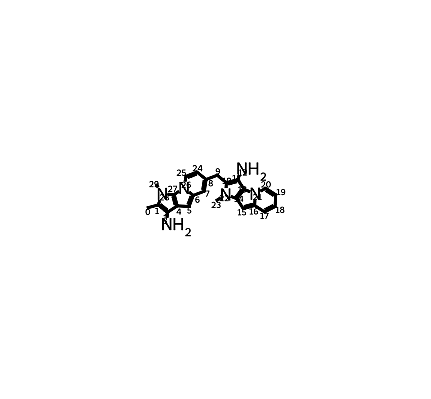 Cc1c(N)c2cc3cc(Cc4c(N)c5c(cc6ccccn65)n4C)ccn3c2n1C